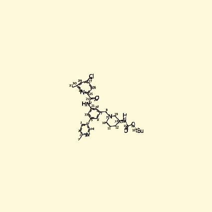 Cc1ccc(-c2cc(CN3CCC[C@H](NC(=O)OC(C)(C)C)C3)cc(NC(=O)c3cc(Cl)cc(C)n3)c2)cn1